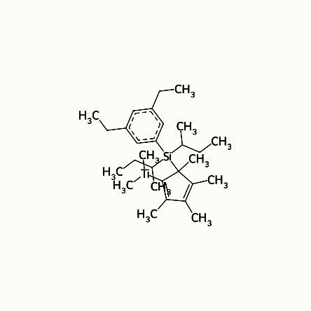 CCc1cc(CC)cc([Si](C(C)CC)(C(C)CC)C2(C)C(C)=C(C)C(C)=[C]2[Ti]([CH3])[CH3])c1